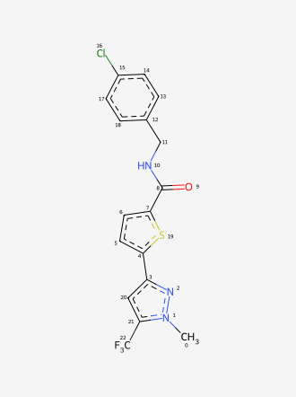 Cn1nc(-c2ccc(C(=O)NCc3ccc(Cl)cc3)s2)cc1C(F)(F)F